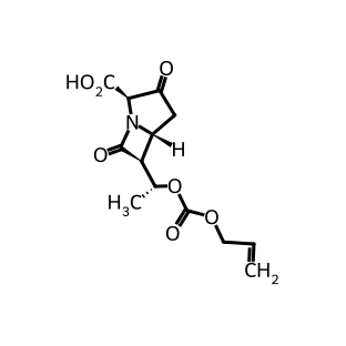 C=CCOC(=O)O[C@H](C)[C@H]1C(=O)N2[C@@H](C(=O)O)C(=O)C[C@H]12